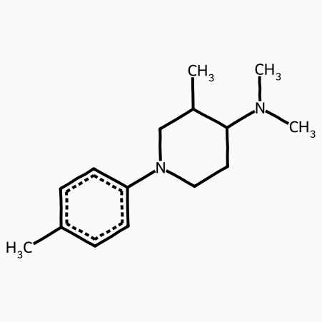 Cc1ccc(N2CCC(N(C)C)C(C)C2)cc1